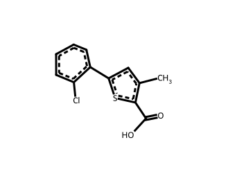 Cc1cc(-c2ccccc2Cl)sc1C(=O)O